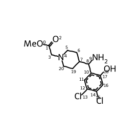 COC(=O)CN1CCC(C(N)c2cc(Cl)c(Cl)cc2O)CC1